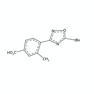 Cc1cc(C(=O)O)ccc1-c1noc(C(C)(C)C)n1